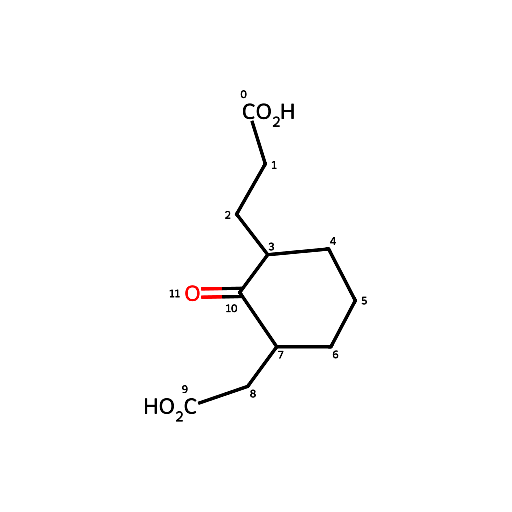 O=C(O)CCC1CCCC(CC(=O)O)C1=O